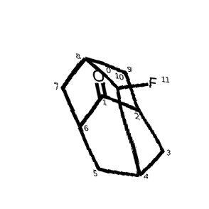 O=C1C2CC3CC1CC(C2)C3F